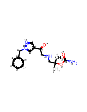 CC(C)(CNCC(=O)c1cnn(Cc2ccccc2)c1)OC(N)=O